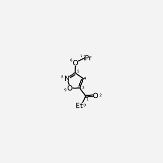 CCC(=O)c1cc(OC(C)C)no1